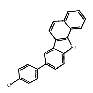 Clc1ccc(-c2ccc3[nH]c4c5ccccc5ccc4c3c2)cc1